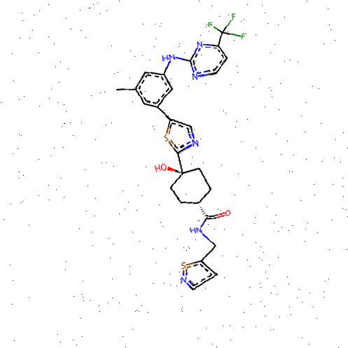 Cc1cc(Nc2nccc(C(F)(F)F)n2)cc(-c2cnc([C@]3(O)CC[C@H](C(=O)NCc4ccns4)CC3)s2)c1